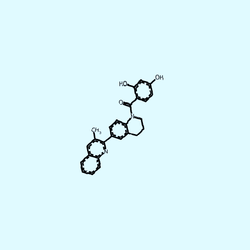 Cc1cc2ccccc2nc1-c1ccc2c(c1)CCCN2C(=O)c1ccc(O)cc1O